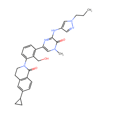 CCCn1cc(Nc2nc(-c3cccc(N4CCc5cc(C6CC6)ccc5C4=O)c3CO)cn(C)c2=O)cn1